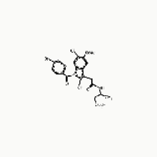 COc1cc2c(CC(=O)NC(C)CC(=O)O)c(C)n(C(=O)c3ccc(Br)cc3)c2cc1Cl